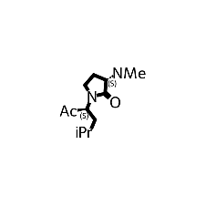 CN[C@H]1CCN([C@@H](CC(C)C)C(C)=O)C1=O